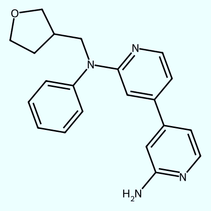 Nc1cc(-c2ccnc(N(CC3CCOC3)c3ccccc3)c2)ccn1